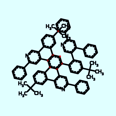 CC(C)(C)c1ccc(C2CC(c3ccc(C(C)(C)C)cc3-c3cnc(-c4ccccc4)cc3-c3ccccc3)CC(c3cc(C(C)(C)C)ccc3-c3cnc(-c4ccccc4)cc3-c3ccccc3)C2)c(-c2cnc(-c3ccccc3)cc2-c2ccccc2)c1